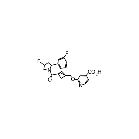 O=C(O)c1ccnc(OCC23CC(C(=O)N4CC(F)CC4c4cccc(F)c4)(C2)C3)c1